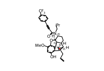 C=CCN1CC[C@]23c4c5c(O)cc(OC)c4O[C@H]2[C@H](N(CC(C)C)C(=O)C#Cc2ccc(C(F)(F)F)cc2)CC[C@H]3[C@H]1C5